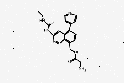 CCNC(=O)Nc1cc2c(-c3ccncc3)ccc(CNC(=O)CN)c2cn1